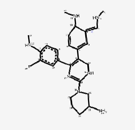 CN/C=C1/C=C(C2=C(c3ccc(NC)c(F)c3)N=C(N3CCCC(N)C3)NC2)C=CC1NC